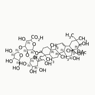 CC(=O)O[C@H]1[C@H](O)C(C)(C)CC2C3=CCC4[C@@]5(C)CC[C@H](O[C@@H]6OC(C(=O)O)[C@@H](O)C(O[C@@H]7O[C@@H](CO)C(O)[C@@H]7O)[C@@H]6O[C@@H]6OC(CO)[C@H](O)C(O)[C@@H]6O)C(C)(C)C5CC[C@@]4(C)[C@]3(C)C[C@@H](O)[C@]21CO